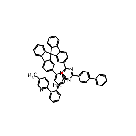 Cc1ccc(-c2ccccc2-c2cccc(-c3ccc4c(c3)C3(c5ccccc5-4)c4ccccc4-c4ccc(-c5nc(C)nc(-c6ccc(-c7ccccc7)cc6)n5)cc43)c2)nc1